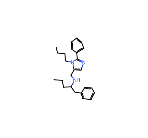 CCCCn1c(CNC(CCC)Cc2ccccc2)cnc1-c1ccccc1